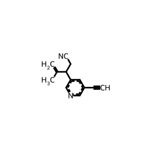 C#Cc1cncc(C(CC#N)C(=C)C)c1